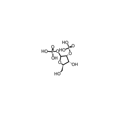 O=P(O)(O)OC1O[C@H](CO)[C@@H](O)[C@H]1OP(=O)(O)O